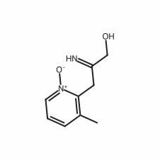 Cc1ccc[n+]([O-])c1CC(=N)CO